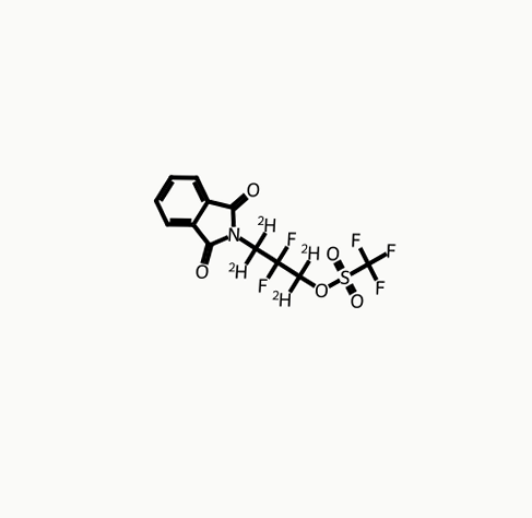 [2H]C([2H])(OS(=O)(=O)C(F)(F)F)C(F)(F)C([2H])([2H])N1C(=O)c2ccccc2C1=O